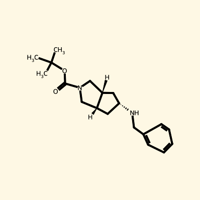 CC(C)(C)OC(=O)N1C[C@H]2C[C@@H](NCc3ccccc3)C[C@H]2C1